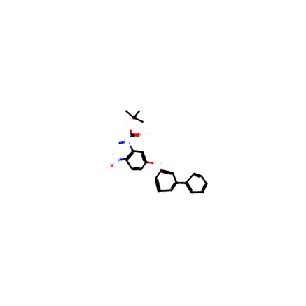 CN(C(=O)OC(C)(C)C)c1cc(Oc2cccc(-c3ccccc3)c2)ccc1[N+](=O)[O-]